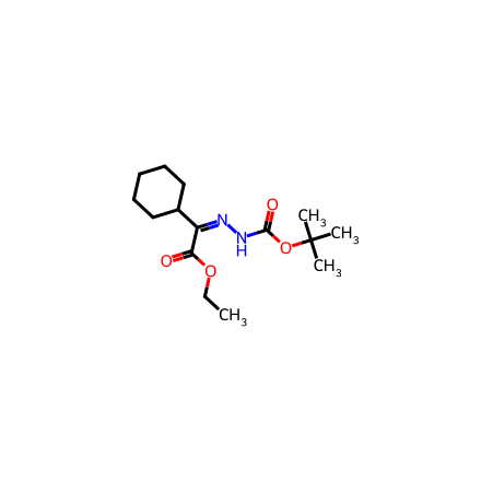 CCOC(=O)C(=NNC(=O)OC(C)(C)C)C1CCCCC1